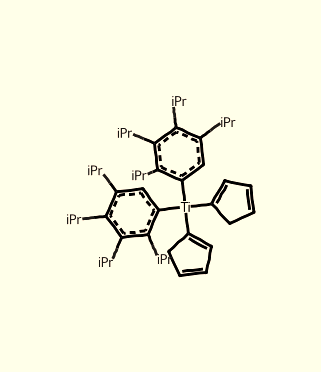 CC(C)c1c[c]([Ti]([C]2=CC=CC2)([C]2=CC=CC2)[c]2cc(C(C)C)c(C(C)C)c(C(C)C)c2C(C)C)c(C(C)C)c(C(C)C)c1C(C)C